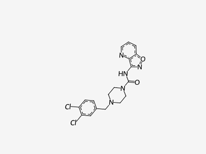 O=C(Nc1noc2cccnc12)N1CCN(Cc2ccc(Cl)c(Cl)c2)CC1